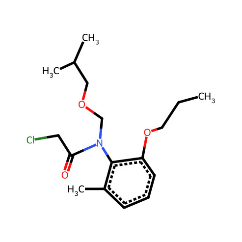 CCCOc1cccc(C)c1N(COCC(C)C)C(=O)CCl